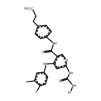 CCNC(=O)Nc1cc(Nc2ccc(F)c(F)c2)c(C(=O)Nc2ccc(CCC(=O)OCC)cc2)cn1